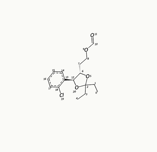 CCC1(CC)O[C@@H](CCOC=O)[C@H](c2ccccc2Cl)O1